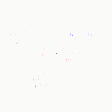 C#C[C@@]1(c2ccc3c(N)ccnn23)O[C@H](COP(=O)(OCCSC(=O)C(C)(C)C)OCCSC(=O)C(C)(C)C)[C@@H](O)[C@H]1O